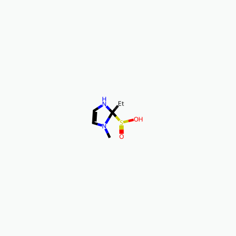 CCC1(S(=O)O)NC=CN1C